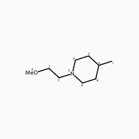 COCCN1CC[C](C)CC1